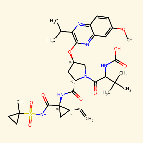 C=C[C@@H]1C[C@]1(NC(=O)[C@@H]1C[C@@H](Oc2nc3cc(OC)ccc3nc2C(C)C)CN1C(=O)C(NC(=O)O)C(C)(C)C)C(=O)NS(=O)(=O)C1(C)CC1